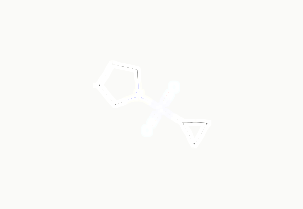 O=S(=O)(C1CC1)N1C[CH]CC1